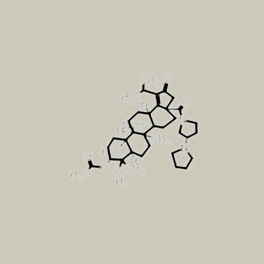 CC(=O)O[C@H]1CC[C@]2(C)[C@H]3CC[C@@H]4C5=C(C(C)C)C(=O)C[C@]5(C(=O)N5CC[C@@H](N6CCCC6)C5)CC[C@@]4(C)[C@]3(C)CC[C@H]2C1(C)C